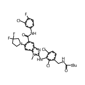 Cn1c(Nc2c(Cl)ccc(CNC(=O)C(C)(C)C)c2Cl)nc2cc(C(=O)Nc3ccc(F)c(Cl)c3)c(N3CCC(F)(F)C3)cc21